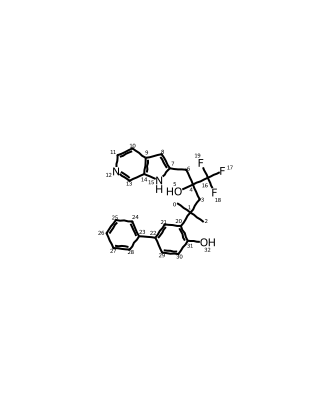 CC(C)(CC(O)(Cc1cc2ccncc2[nH]1)C(F)(F)F)c1cc(-c2ccccc2)ccc1O